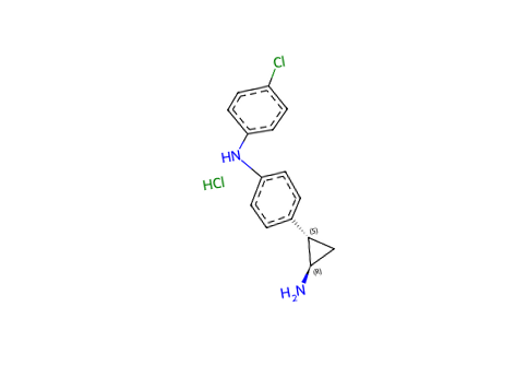 Cl.N[C@@H]1C[C@H]1c1ccc(Nc2ccc(Cl)cc2)cc1